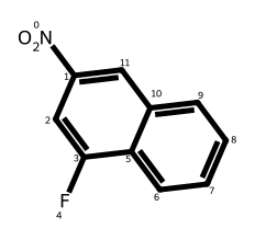 O=[N+]([O-])c1cc(F)c2ccccc2c1